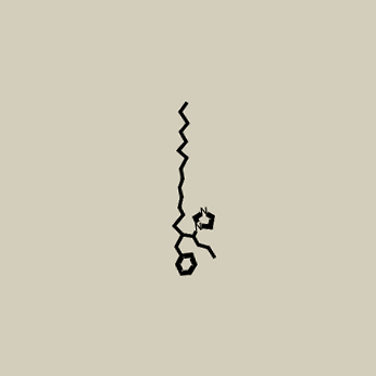 CCCCCCCCCCCCCCC(Cc1ccccc1)C(CCC)n1ccnc1